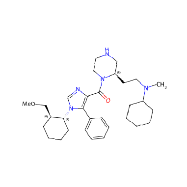 COC[C@@H]1CCCC[C@H]1n1cnc(C(=O)N2CCNC[C@H]2CCN(C)C2CCCCC2)c1-c1ccccc1